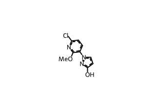 COc1nc(Cl)ccc1-n1ccc(O)n1